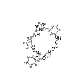 O=C1NCCCNc2cccc(c2)-c2ncnc(n2)Nc2cccc(c2)CN[C@H]1Cc1ccccc1